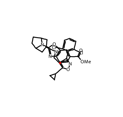 COC(=O)c1ccc2nc(N3C4CCC3CC(NCc3c(-c5c(Cl)cccc5Cl)noc3C3CC3)C4)oc2c1